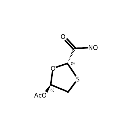 CC(=O)O[C@@H]1CS[C@@H](C(=O)N=O)O1